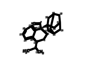 CC(C)N1CC[N+](C=O)(C23CC4CC(CC(C4)C2)C3)c2ccccc21